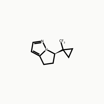 FC(F)(F)C1([C@H]2CCc3ccnn32)CC1